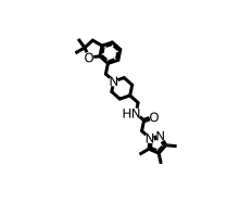 Cc1nn(CC(=O)NCC2CCN(Cc3cccc4c3OC(C)(C)C4)CC2)c(C)c1C